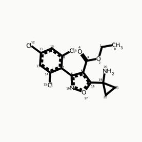 CCOC(=O)c1c(-c2c(Cl)cc(Cl)cc2Cl)noc1C1(N)CC1